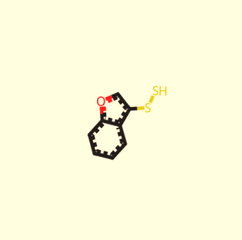 SSc1coc2ccccc12